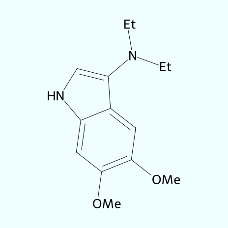 CCN(CC)c1c[nH]c2cc(OC)c(OC)cc12